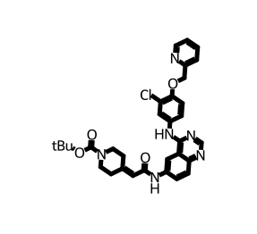 CC(C)(C)OC(=O)N1CCC(=CC(=O)Nc2ccc3ncnc(Nc4ccc(OCc5ccccn5)c(Cl)c4)c3c2)CC1